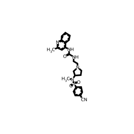 Cc1cc(NC(=O)NCCN2CCC(N(C)S(=O)(=O)c3ccc(C#N)cc3)C2)c2ccccc2n1